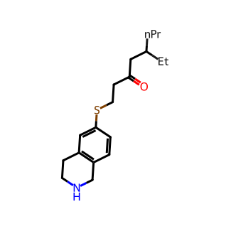 CCCC(CC)CC(=O)CCSc1ccc2c(c1)CCNC2